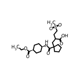 CCOC(=O)[C@H]1CC[C@@H](NC(=O)C2(CC(CCS(C)(=O)=O)C(=O)O)CCCC2)CC1